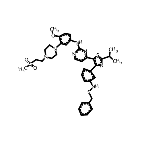 COc1ccc(Nc2nccc(-c3sc(C(C)C)nc3-c3cccc(NSCc4ccccc4)c3)n2)cc1N1CCN(CCS(C)(=O)=O)CC1